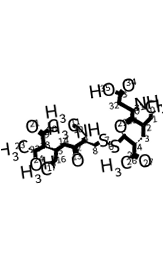 CCC(C[C@@H](CSSC[C@H](NC)C(=O)CC(CC)[C@H](C(C)=O)[C@@H](C)O)C(C)=O)C(=O)[C@@H](N)CC(=O)O